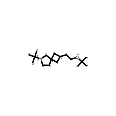 CC(C)(C)OCCC1CC2(CCN(C(C)(C)C)C2)C1